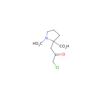 O=C(CCl)CC1(C(=O)O)CCCN1C(=O)O